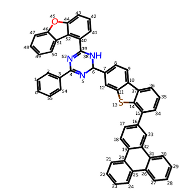 c1ccc(C2=NC(c3ccc4c(c3)sc3c(-c5ccc6c7ccccc7c7ccccc7c6c5)cccc34)NC(c3cccc4oc5ccccc5c34)=N2)cc1